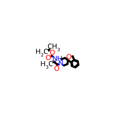 C=C(C)OC(=O)N[C@H](C)C(=O)N1CCC2(CC1)OCc1ccccc12